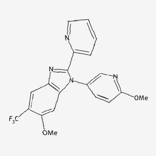 COc1ccc(-n2c(-c3ccccn3)nc3cc(C(F)(F)F)c(OC)cc32)cn1